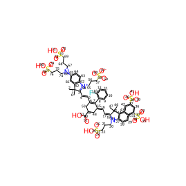 CC1(C)C(/C=C/C2=C(c3ccccc3F)C(=C/C=C3/N(CCCS(=O)(=O)O)c4ccc5c(S(=O)(=O)O)cc(S(=O)(=O)O)cc5c4C3(C)C)/CC(C(=O)O)C2)=[N+](CCCS(=O)(=O)[O-])c2ccc(N(CCCS(=O)(=O)O)CCCS(=O)(=O)O)cc21